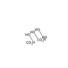 O=C(O)O.O=C(O)O.O=NO